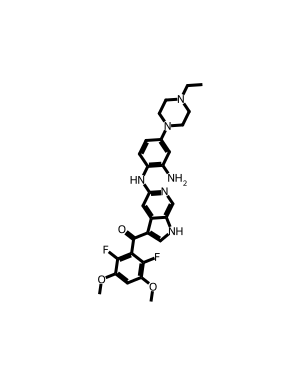 CCN1CCN(c2ccc(Nc3cc4c(C(=O)c5c(F)c(OC)cc(OC)c5F)c[nH]c4cn3)c(N)c2)CC1